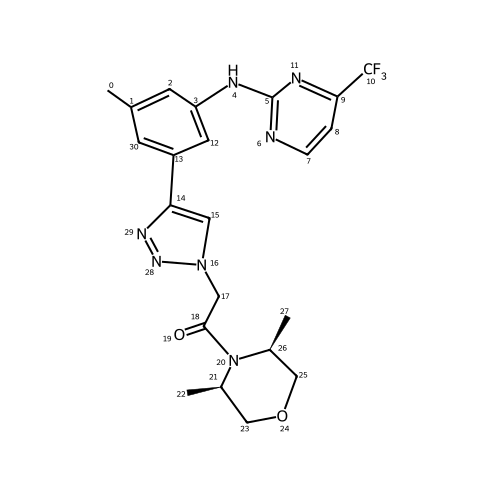 Cc1cc(Nc2nccc(C(F)(F)F)n2)cc(-c2cn(CC(=O)N3[C@H](C)COC[C@@H]3C)nn2)c1